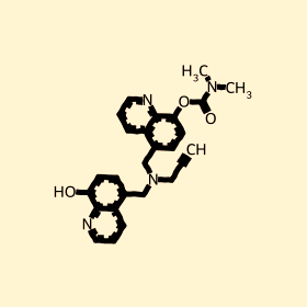 C#CCN(Cc1ccc(O)c2ncccc12)Cc1ccc(OC(=O)N(C)C)c2ncccc12